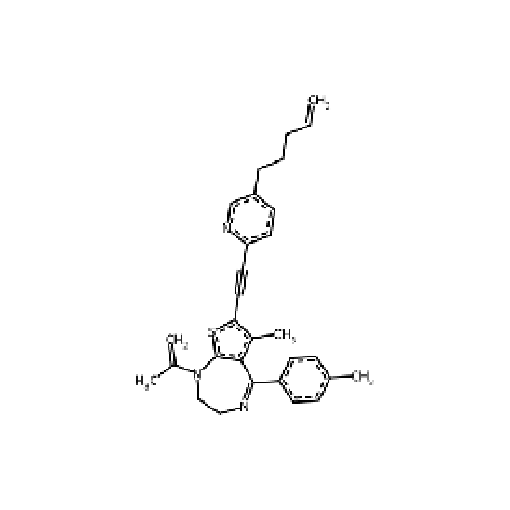 C=CCCCc1ccc(C#Cc2sc3c(c2C)C(c2ccc(C)cc2)=NCCN3C(=C)C)nc1